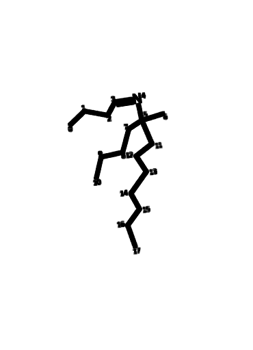 CCC/C=N\C(C)(CCCC)CCCCCCC